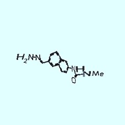 CNC(=O)Nc1ccc2cc(C=NN)ccc2c1